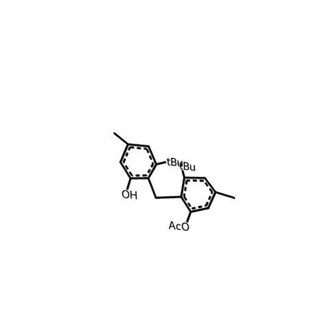 CC(=O)Oc1cc(C)cc(C(C)(C)C)c1Cc1c(O)cc(C)cc1C(C)(C)C